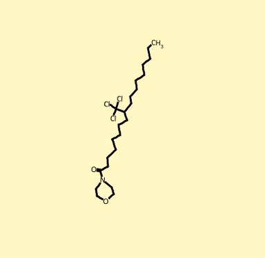 CCCCCCCCCC(CCCCCCCC(=O)N1CCOCC1)C(Cl)(Cl)Cl